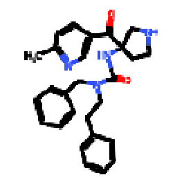 Cc1ccc(C(=O)[C@@]2(NC(=O)N(CCc3ccccc3)Cc3ccccc3)CCNC2)cn1